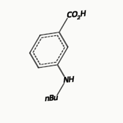 CCCCNc1cccc(C(=O)O)c1